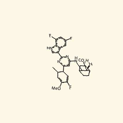 COC1=CC(C)C(c2cc(NC3C4CCC(CC4)[C@H]3C(=O)O)nc(-c3c[nH]c4c(F)cc(F)cc34)n2)C=C1F